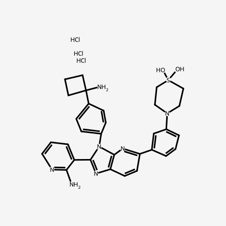 Cl.Cl.Cl.Nc1ncccc1-c1nc2ccc(-c3cccc(N4CCS(O)(O)CC4)c3)nc2n1-c1ccc(C2(N)CCC2)cc1